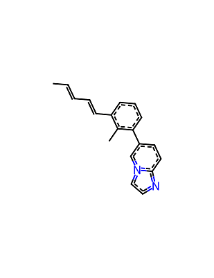 C/C=C/C=C/c1cccc(-c2ccc3nccn3c2)c1C